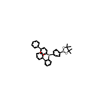 CC1(C)OB(c2ccc(N(c3ccc(-c4ccccc4)cc3)c3ccccc3-c3ccccc3)cc2)OC1(C)C